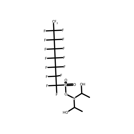 CC(O)N(OS(=O)(=O)C(F)(F)C(F)(F)C(F)(F)C(F)(F)C(F)(F)C(F)(F)C(F)(F)C(F)(F)F)C(C)O